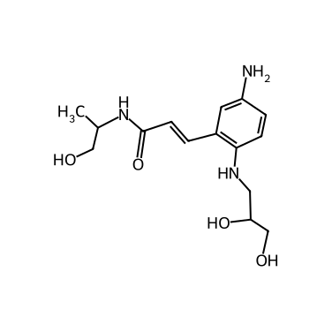 CC(CO)NC(=O)C=Cc1cc(N)ccc1NCC(O)CO